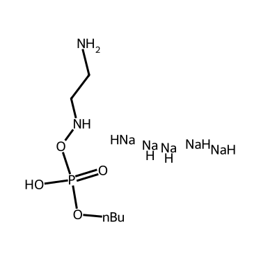 CCCCOP(=O)(O)ONCCN.[NaH].[NaH].[NaH].[NaH].[NaH]